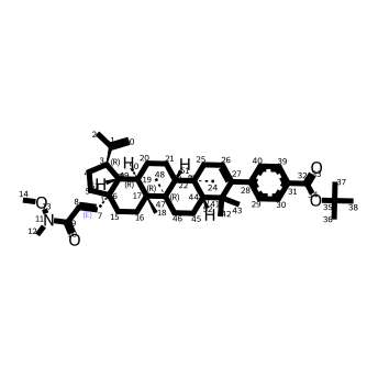 C=C(C)[C@@H]1CC[C@]2(/C=C/C(=O)N(C)OC)CC[C@]3(C)[C@H](CC[C@@H]4[C@@]5(C)CC=C(c6ccc(C(=O)OC(C)(C)C)cc6)C(C)(C)[C@@H]5CC[C@]43C)[C@@H]12